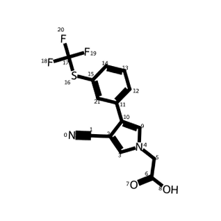 N#Cc1cn(CC(=O)O)cc1-c1cccc(SC(F)(F)F)c1